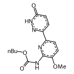 CCCCOC(=O)Nc1nc(-c2ccc(=O)[nH]n2)ccc1OC